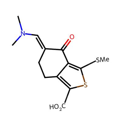 CSc1sc(C(=O)O)c2c1C(=O)C(=CN(C)C)CC2